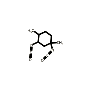 CC1CCC(C)(N=C=O)CC1N=C=O